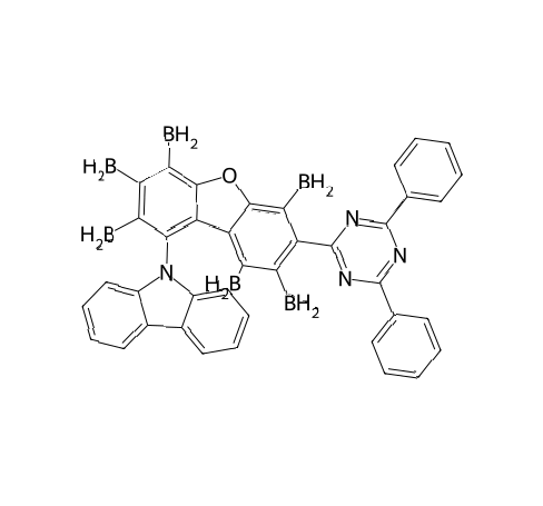 Bc1c(B)c(-n2c3ccccc3c3ccccc32)c2c(oc3c(B)c(-c4nc(-c5ccccc5)nc(-c5ccccc5)n4)c(B)c(B)c32)c1B